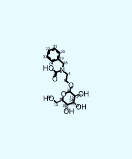 O=C(O)N(CCO[C@@H]1O[C@H](CO)[C@@H](O)[C@H](O)[C@@H]1O)Cc1ccccc1